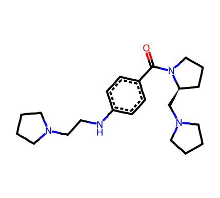 O=C(c1ccc(NCCN2CCCC2)cc1)N1CCC[C@H]1CN1CCCC1